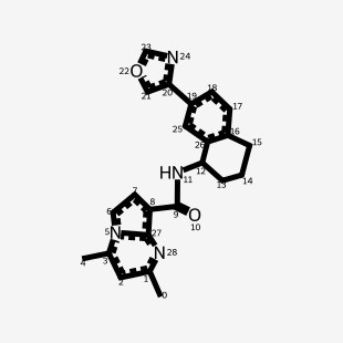 Cc1cc(C)n2ccc(C(=O)NC3CCCc4ccc(-c5cocn5)cc43)c2n1